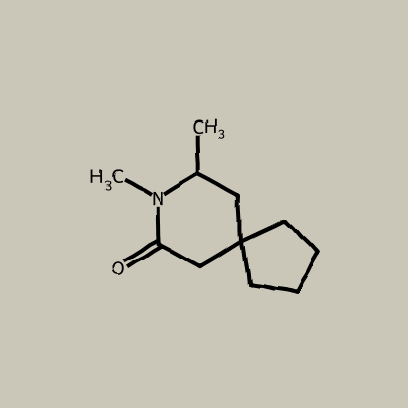 CC1CC2(CCCC2)CC(=O)N1C